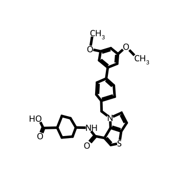 COc1cc(OC)cc(-c2ccc(Cn3ccc4scc(C(=O)NC5CCC(C(=O)O)CC5)c43)cc2)c1